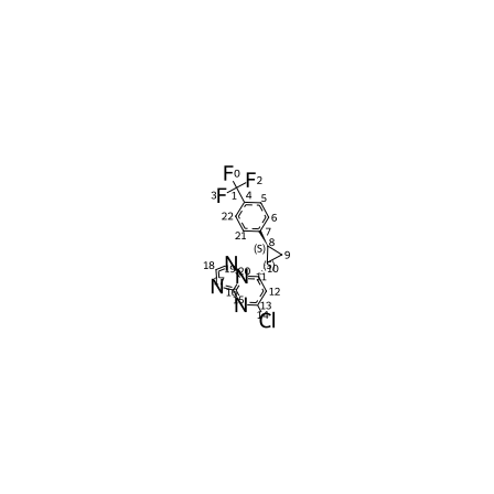 FC(F)(F)c1ccc([C@H]2C[C@@H]2c2cc(Cl)nc3ncnn23)cc1